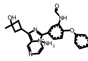 CC1(O)CC(C2=C3C=NC=C[N+]3(N)C(c3ccc(Oc4ccccc4)c(NC=O)c3)=N2)C1